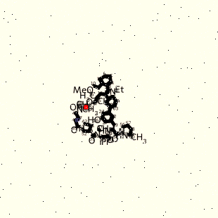 CCn1c(-c2ccccc2CCOC)c(CC(C)(C)COC=O)c2cc(-c3cc(O)cc(C[C@H](NC(=O)C(C(C)C)N(C)C(=O)[C@H]4CCN(C(=O)/C=C/CN(C)C)C4)C(=O)N4CCC[C@@H](C)N4)c3)ccc21